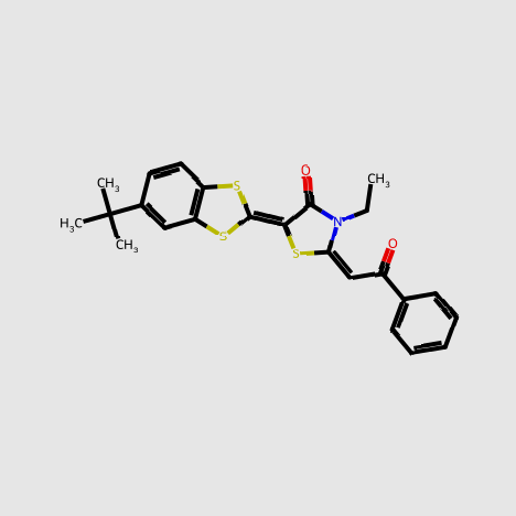 CCn1c(=O)/c(=C2\Sc3ccc(C(C)(C)C)cc3S2)s/c1=C/C(=O)c1ccccc1